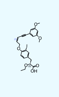 CCO[C@@H](Cc1ccc(OC/C=C\C#Cc2cc(OC)cc(OC)c2)c(I)c1)C(=O)O